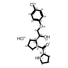 Cl.O=C([C@H]1CCCN1)N1CCC[C@H]1C(O)COc1ccc(Cl)cc1